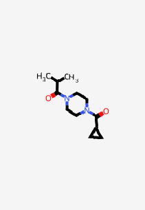 CC(C)C(=O)N1CCN(C(=O)C2CC2)CC1